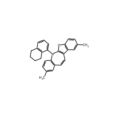 Cc1ccc2c(c1)C=Cc1c(oc3ccc(C)cc13)N2c1cccc2c1CCCC2